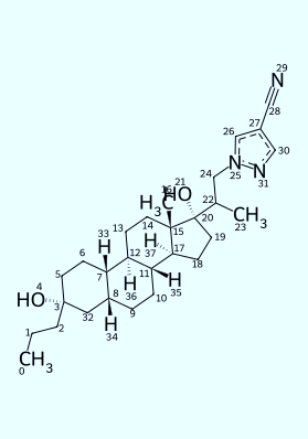 CCC[C@@]1(O)CC[C@H]2[C@H](CC[C@@H]3[C@@H]2CC[C@@]2(C)[C@H]3CC[C@]2(O)C(C)Cn2cc(C#N)cn2)C1